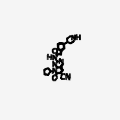 N#Cc1cc2cnc(Nc3cc4cc(C5CCNCC5)ccc4o3)nc2n(C2CCCC2)c1=O